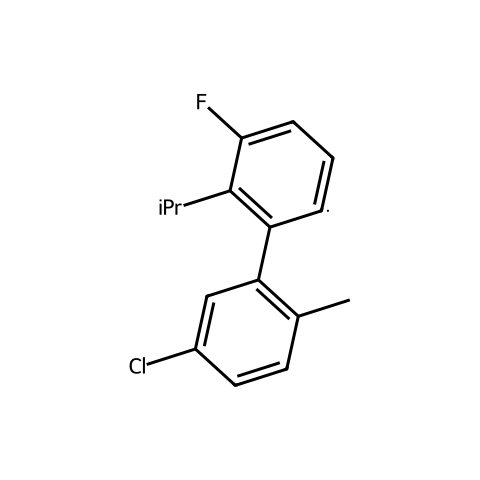 Cc1ccc(Cl)cc1-c1[c]ccc(F)c1C(C)C